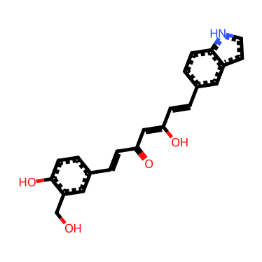 O=C(/C=C(O)/C=C/c1ccc2[nH]ccc2c1)/C=C/c1ccc(O)c(CO)c1